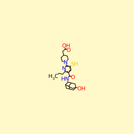 CCCc1nc(N2CCC(CC(=O)O)CC2)c(S)cc1C(=O)NC1C2CC3CC1CC(O)(C3)C2